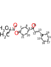 C=C(C)C(=O)Oc1ccc(C(=O)C=Cc2ccccc2)cc1